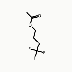 CC(=O)OCCSC(F)(F)F